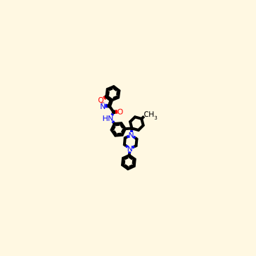 CC1CCC(c2cccc(NC(=O)c3noc4ccccc34)c2)(N2CCN(c3ccccc3)CC2)CC1